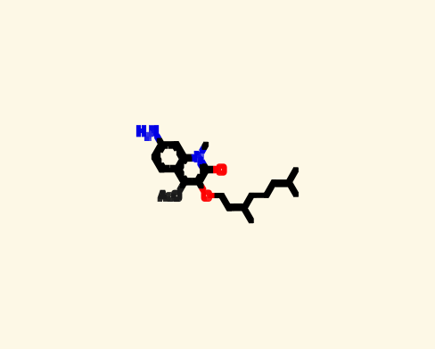 CC(=O)Oc1c(OCC=C(C)CCC=C(C)C)c(=O)n(C)c2cc(N)ccc12